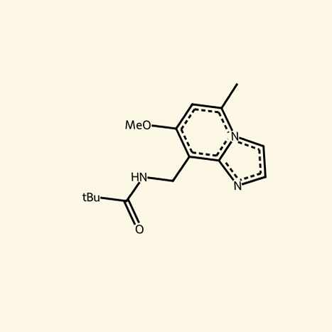 COc1cc(C)n2ccnc2c1CNC(=O)C(C)(C)C